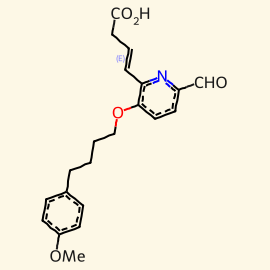 COc1ccc(CCCCOc2ccc(C=O)nc2/C=C/CC(=O)O)cc1